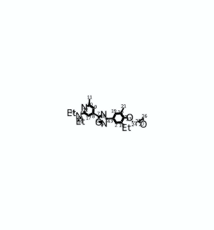 CCc1cc(-c2noc(-c3cc(C)nc(N(CC)CC)c3)n2)cc(C)c1OC[C@@H]1CO1